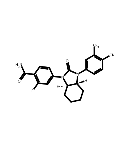 N#Cc1ccc(N2C(=O)N(c3ccc(C(N)=O)c(F)c3)[C@@H]3CCCC[C@H]32)cc1C(F)(F)F